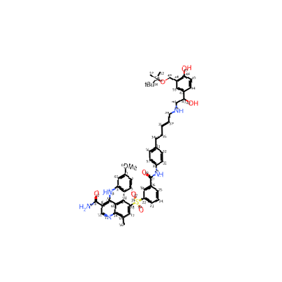 COc1cccc(Nc2c(C(N)=O)cnc3c(C)cc(S(=O)(=O)c4cccc(C(=O)Nc5ccc(CCCCCNCC(O)c6ccc(O)c(CO[Si](C)(C)C(C)(C)C)c6)cc5)c4)cc23)c1